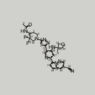 CC(=O)N[C@H]1CCN(c2nnc(-c3cnc(-c4ccc5cc(C#N)cnn45)cc3NC3(C)COC3)s2)CC1(F)F